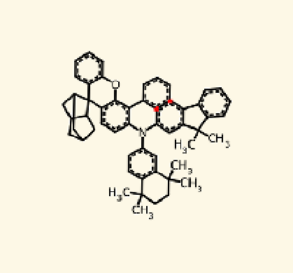 CC1(C)CCC(C)(C)c2cc(N(c3ccc4c(c3)C(C)(C)c3ccccc3-4)c3ccc4c(c3-c3ccccc3)Oc3ccccc3C43C4CC5CC(C4)C3C5)ccc21